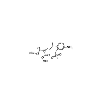 C[C@H](CCN(C(=O)OC(C)(C)C)C(=O)OC(C)(C)C)c1ccc(N)cc1CS(C)(=O)=O